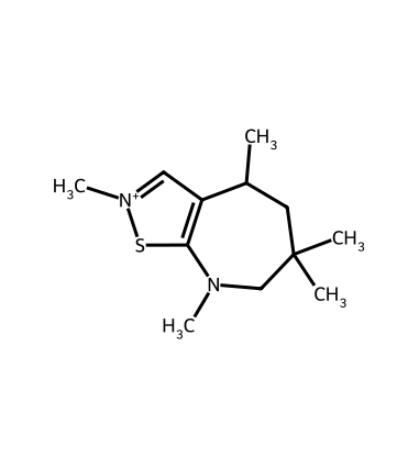 CC1CC(C)(C)CN(C)c2s[n+](C)cc21